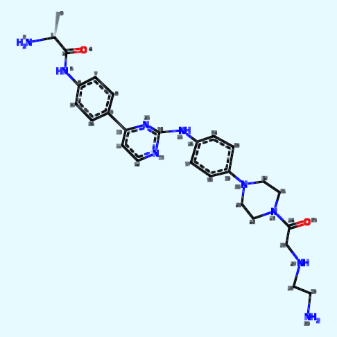 C[C@@H](N)C(=O)Nc1ccc(-c2ccnc(Nc3ccc(N4CCN(C(=O)CNCCN)CC4)cc3)n2)cc1